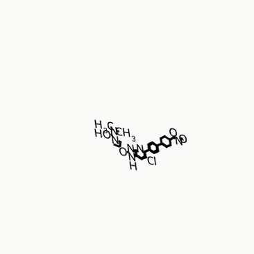 CN(C)C(O)N1CC(Oc2nc3nc(-c4ccc(C5=CCC(C(=O)N=O)CC5)cc4)c(Cl)cc3[nH]2)C1